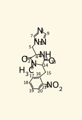 CN1C(=O)C(Cn2cncn2)NC(=O)C1Cc1ccccc1[N+](=O)[O-]